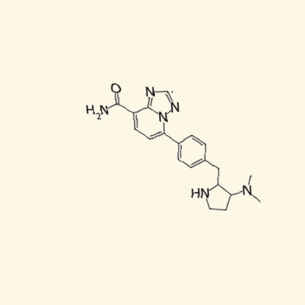 CN(C)C1CCNC1Cc1ccc(-c2ccc(C(N)=O)c3n[c]nn23)cc1